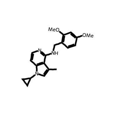 COc1ccc(CNc2nccc3c2c(C)cn3C2CC2)c(OC)c1